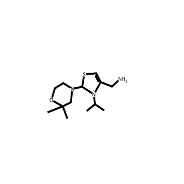 CC(C)N1C(CN)=CSC1N1CCOC(C)(C)C1